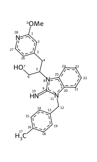 COc1cc(CC(CO)n2c(=N)n(Cc3ccc(C)cc3)c3ccccc32)ccn1